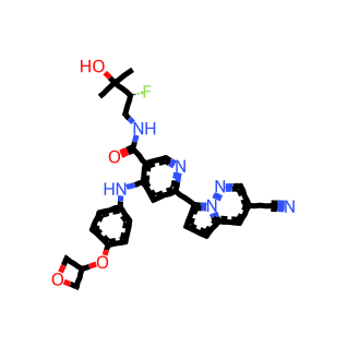 CC(C)(O)[C@H](F)CNC(=O)c1cnc(-c2ccc3cc(C#N)cnn23)cc1Nc1ccc(OC2COC2)cc1